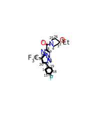 CCOC1CCN(C(=O)c2cn3nc(-c4ccc(F)cc4)cc(C(F)(F)F)c3n2)CC1